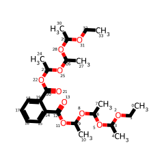 CCOC(C)OC(C)OC(C)OC(=O)c1ccccc1C(=O)OC(C)OC(C)OC(C)OCC